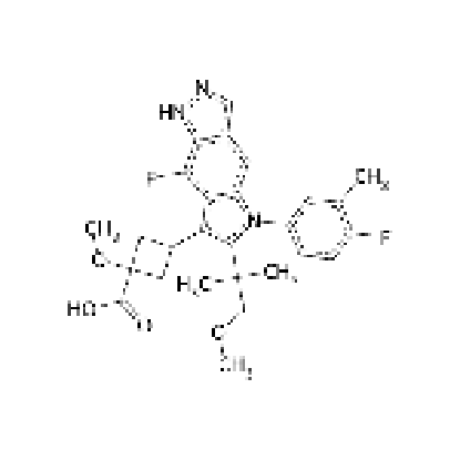 COCC(C)(C)c1c(C2CC(OC)(C(=O)O)C2)c2c(F)c3[nH]ncc3cc2n1-c1ccc(F)c(C)c1